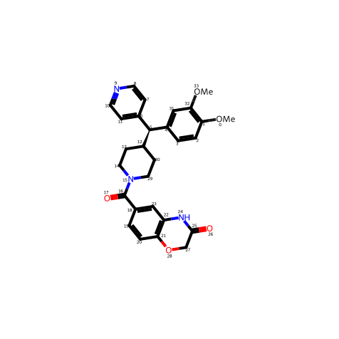 COc1ccc([C@H](c2ccncc2)C2CCN(C(=O)c3ccc4c(c3)NC(=O)CO4)CC2)cc1OC